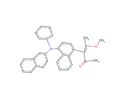 CO/C(C)=C(\C(C)=O)c1ccc(N(c2ccccc2)c2ccc3ccccc3c2)c2ccccc12